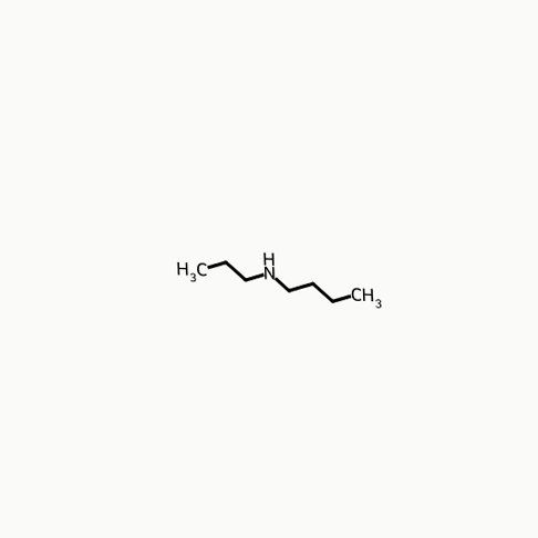 CCCCNCCC